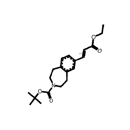 CCOC(=O)/C=C/c1ccc2c(c1)CCN(C(=O)OC(C)(C)C)CC2